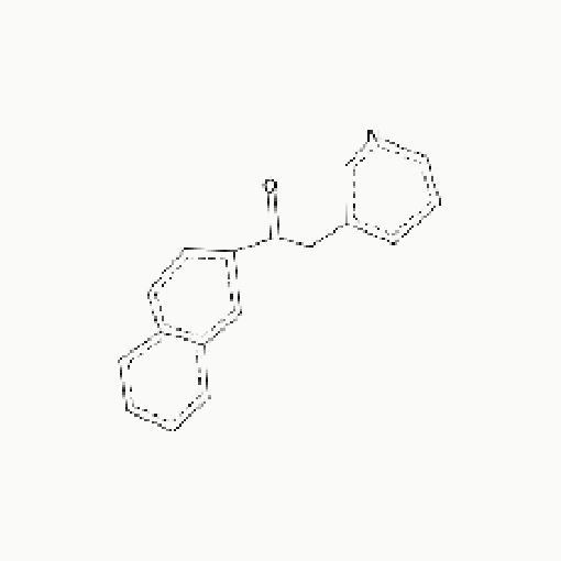 O=C(Cc1cccnc1)c1ccc2ccccc2c1